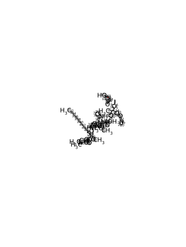 CC/C(=C(\c1ccc(I)cc1)c1ccc(OCCN2CCCC2)cc1)c1ccccc1.CCCCCCCCCCCCCCCCSCC(COC)COP(=O)([O-])OCC[N+](C)(C)C.CNC(=O)[C@H](Cc1c[nH]c2ccccc12)NC(=O)[C@@H](CC(=O)NO)CC(C)C.O=C1C2CC3CC1CC(O)(C3)C2.c1c[nH]cn1